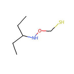 CCC(CC)NOCS